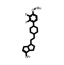 CCCCOc1ccc(C2CCC(CCC3CCC4C(CCC)=CCC34)CC2)c(F)c1F